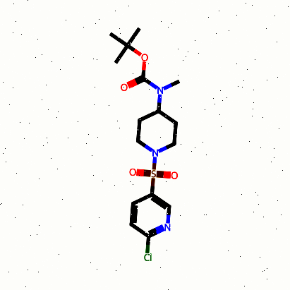 CN(C(=O)OC(C)(C)C)C1CCN(S(=O)(=O)c2ccc(Cl)nc2)CC1